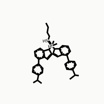 CCCC[SiH]=[Hf]([CH3])([CH3])([CH]1C=Cc2c(-c3ccc(C(C)C)cc3)cccc21)[CH]1C=Cc2c(-c3ccc(C(C)C)cc3)cccc21